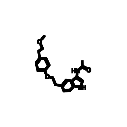 COCCc1ccc(OCCc2ccc3[nH]cc(NC(C)=O)c3c2)cc1